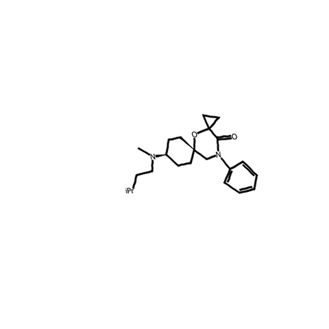 CC(C)CCN(C)[C@H]1CC[C@]2(CC1)CN(c1ccccc1)C(=O)C1(CC1)O2